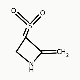 C=C1NCC1=S(=O)=O